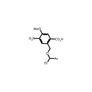 CCC(OCc1cc([N+](=O)[O-])c(OC)cc1C(=O)O)C(C)=O